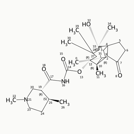 C[C@@H]1CCC23CCC(=O)C2[C@]1(C)[C@H](OC(=O)NC(=O)[C@H]1CN(C)CC[C@@H]1C)CC(C)(C)[C@@H](O)[C@@H]3C